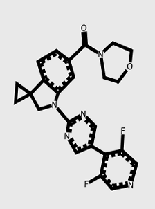 O=C(c1ccc2c(c1)N(c1ncc(-c3c(F)cncc3F)cn1)CC21CC1)N1CCOCC1